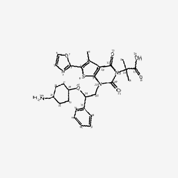 Cc1c(-c2ncco2)sc2c1c(=O)n(C(C)(C)C(=O)O)c(=O)n2CC(OC1CCC(N)CC1)c1ccccc1